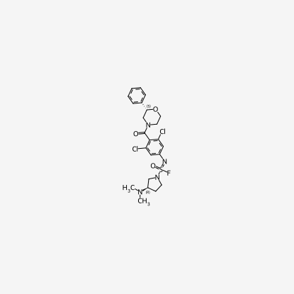 CN(C)[C@@H]1CCN(S(=O)(F)=Nc2cc(Cl)c(C(=O)N3CCO[C@@H](c4ccccc4)C3)c(Cl)c2)C1